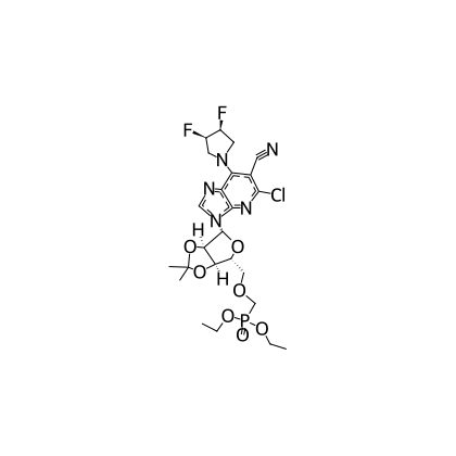 CCOP(=O)(COC[C@H]1O[C@@H](n2cnc3c(N4C[C@@H](F)[C@@H](F)C4)c(C#N)c(Cl)nc32)[C@@H]2OC(C)(C)O[C@@H]21)OCC